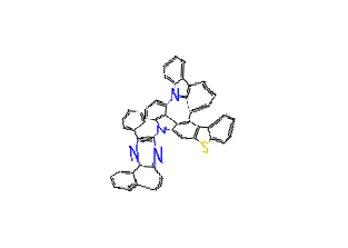 c1ccc(-c2nc3c(ccc4ccccc43)nc2-n2c3cc4sc5ccccc5c4c4c5cccc6c7ccccc7n(c7cccc2c7c43)c65)cc1